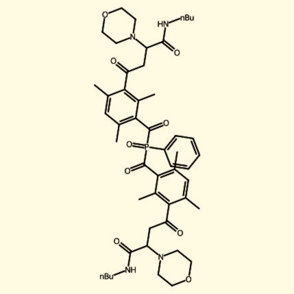 CCCCNC(=O)C(CC(=O)c1c(C)cc(C)c(C(=O)P(=O)(C(=O)c2c(C)cc(C)c(C(=O)CC(C(=O)NCCCC)N3CCOCC3)c2C)c2ccccc2)c1C)N1CCOCC1